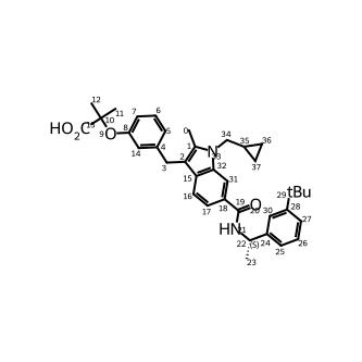 Cc1c(Cc2cccc(OC(C)(C)C(=O)O)c2)c2ccc(C(=O)N[C@@H](C)c3cccc(C(C)(C)C)c3)cc2n1CC1CC1